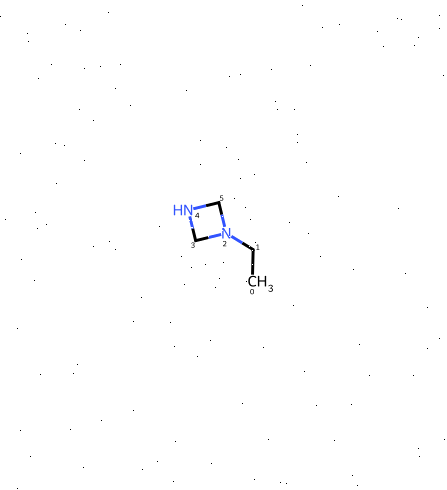 CCN1CNC1